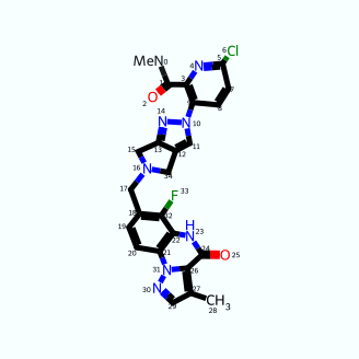 CNC(=O)c1nc(Cl)ccc1-n1cc2c(n1)CN(Cc1ccc3c([nH]c(=O)c4c(C)cnn43)c1F)C2